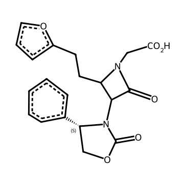 O=C(O)CN1C(=O)C(N2C(=O)OC[C@@H]2c2ccccc2)C1CCc1ccco1